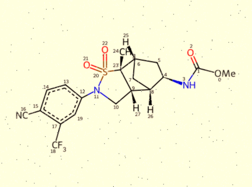 COC(=O)N[C@@H]1C[C@@H]2C[C@H]1[C@@H]1CN(c3ccc(C#N)c(C(F)(F)F)c3)S(=O)(=O)[C@]21C